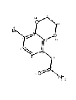 NC(=O)Cc1ccc(Br)c2c1OCCO2